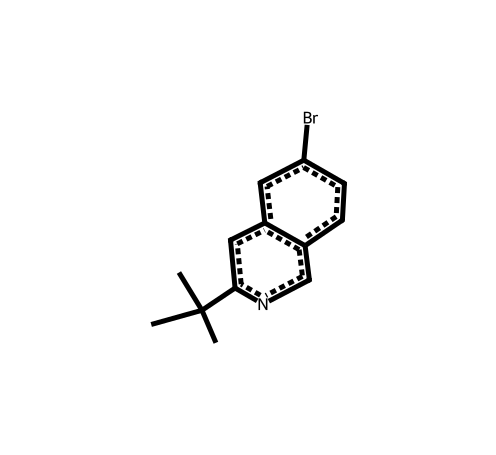 CC(C)(C)c1cc2cc(Br)ccc2cn1